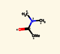 [CH2]N(C)C(=O)OC